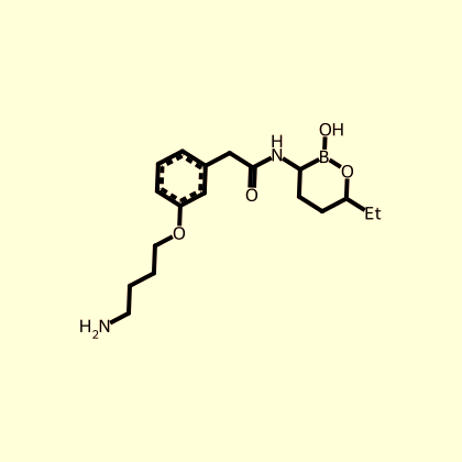 CCC1CCC(NC(=O)Cc2cccc(OCCCCN)c2)B(O)O1